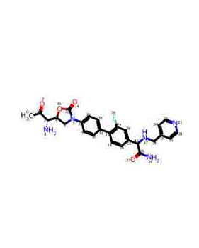 CC(=O)[C@@H](N)C1CN(c2ccc(-c3ccc(C(NCc4ccncc4)C(N)=O)cc3F)cc2)C(=O)O1